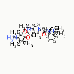 Cc1cc(OC(C)C(=O)N(C)C2CCN(CC(=O)Nc3ccccc3C(C)(C)C)CC2)c(C)c(C)c1N